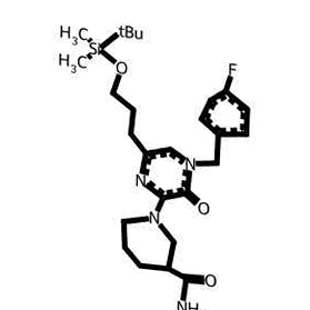 CC(C)(C)[Si](C)(C)OCCCc1cn(Cc2ccc(F)cc2)c(=O)c(N2CCCC(C(N)=O)C2)n1